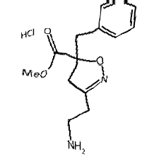 COC(=O)C1(Cc2ccccc2)CC(CCN)=NO1.Cl